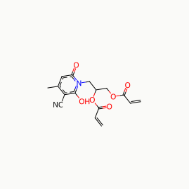 C=CC(=O)OCC(Cn1c(O)c(C#N)c(C)cc1=O)OC(=O)C=C